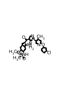 COc1cc2cc(C(=O)c3cnn(-c4cnc(Oc5cccc(Cl)c5)cc4C)c3N)[nH]c2cc1NS(C)(=O)=O